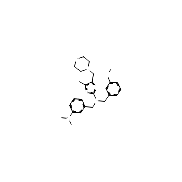 COc1cccc(CN(Cc2cccc(N(C)C)c2)c2nc(C)c(CN3CCOCC3)s2)c1